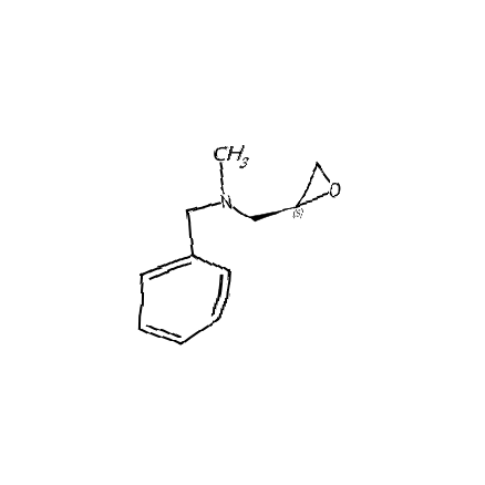 CN(Cc1ccccc1)C[C@H]1CO1